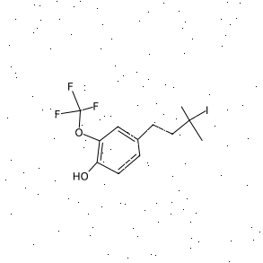 CC(C)(I)CCc1ccc(O)c(OC(F)(F)F)c1